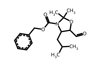 CC(C)CC1C(C=O)OC(C)(C)N1C(=O)OCc1ccccc1